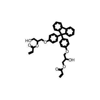 C=CC(=O)OCC(O)COc1ccc(C2(c3ccc(OCC(CO)OC(=O)C=C)cc3)c3ccccc3-c3ccccc32)cc1